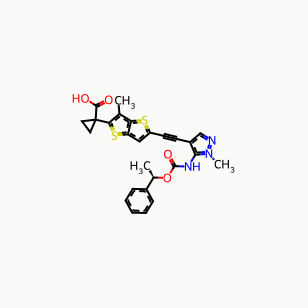 Cc1c(C2(C(=O)O)CC2)sc2cc(C#Cc3cnn(C)c3NC(=O)O[C@H](C)c3ccccc3)sc12